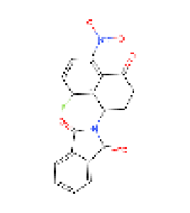 O=C1CCC(N2C(=O)c3ccccc3C2=O)c2c(F)ccc([N+](=O)[O-])c21